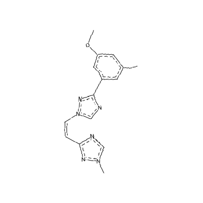 COc1cc(C)cc(-c2ncn(/C=C\c3ncn(C)n3)n2)c1